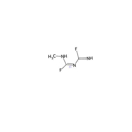 CN/C(F)=N\C(=N)F